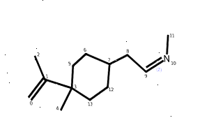 C=C(C)C1(C)CCC(C/C=N\C)CC1